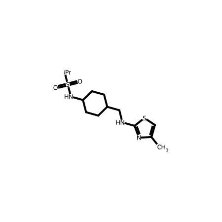 Cc1csc(NCC2CCC(NS(=O)(=O)C(C)C)CC2)n1